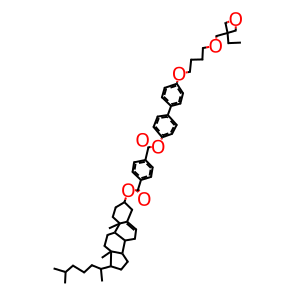 CCC1(COCCCCOc2ccc(-c3ccc(OC(=O)c4ccc(C(=O)OC5CCC6(C)C(=CCC7C6CCC6(C)C(C(C)CCCC(C)C)CCC76)C5)cc4)cc3)cc2)COC1